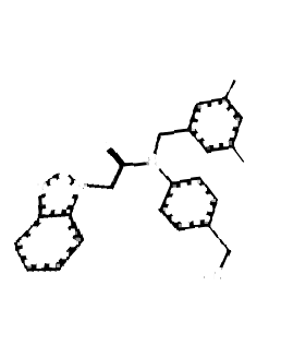 NCc1ccc(N(Cc2cc(F)cc(F)c2)C(=O)Cn2nnc3ccccc32)cc1